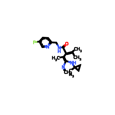 C=N/C(NC1(C)CC1)=C(\C)C(C(=O)NCc1ccc(F)cn1)=C(C)C